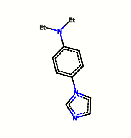 CCN(CC)c1ccc(-n2ccnc2)cc1